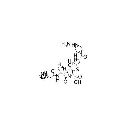 CC(NC(=O)Cn1cnnn1)[C@H]1C(=O)N2C(C(=O)O)=C(S[C@@H]3CN[C@H](C(=O)N4CCN[C@@H](CN)C4)C3)[C@H](C)[C@H]12